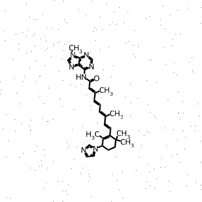 CC1=C(/C=C/C(C)=C/C=C/C(C)=C/C(=O)Nc2ncnc3c2ncn3C)C(C)(C)CCC1n1ccnc1